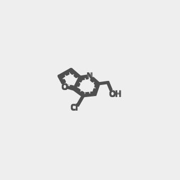 OCc1cc(Cl)c2occc2n1